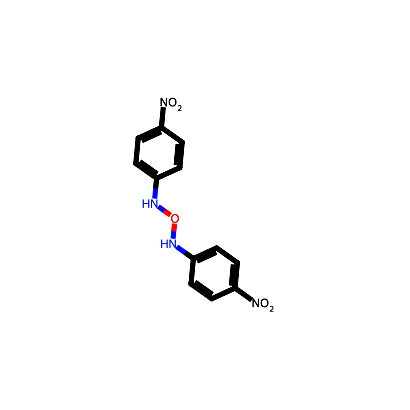 O=[N+]([O-])c1ccc(NONc2ccc([N+](=O)[O-])cc2)cc1